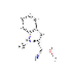 CCOC(=N)c1cc2ccccc2n1C